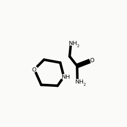 C1COCCN1.NCC(N)=O